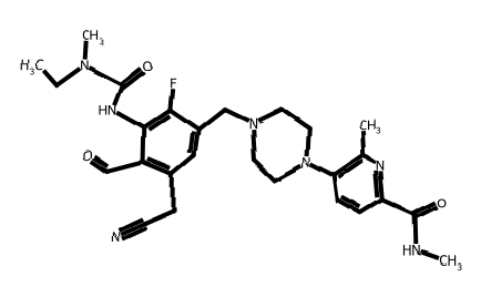 CCN(C)C(=O)Nc1c(F)c(CN2CCN(c3ccc(C(=O)NC)nc3C)CC2)cc(CC#N)c1C=O